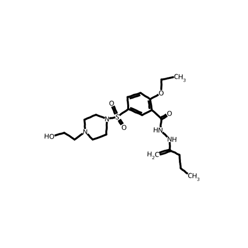 C=C(CCC)NNC(=O)c1cc(S(=O)(=O)N2CCN(CCO)CC2)ccc1OCC